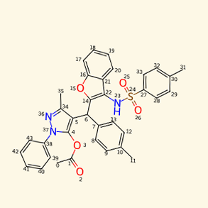 CC(=O)Oc1c(C(c2ccc(C)cc2)c2oc3ccccc3c2NS(=O)(=O)c2ccc(C)cc2)c(C)nn1-c1ccccc1